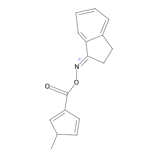 CC1C=CC(C(=O)O/N=C2\CCc3ccccc32)=C1